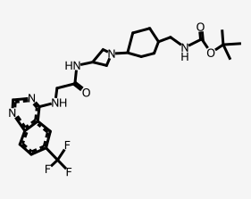 CC(C)(C)OC(=O)NCC1CCC(N2CC(NC(=O)CNc3ncnc4ccc(C(F)(F)F)cc34)C2)CC1